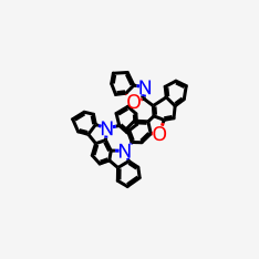 c1ccc(-n2c3ccccc3c3ccc4c5ccccc5n(-c5ccc6c(c5)oc5cc7ccccc7c(-c7nc8ccccc8o7)c56)c4c32)cc1